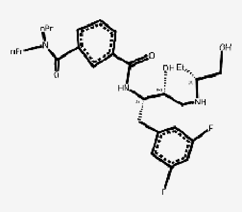 CCCN(CCC)C(=O)c1cccc(C(=O)N[C@@H](Cc2cc(F)cc(F)c2)[C@H](O)CN[C@H](CC)CO)c1